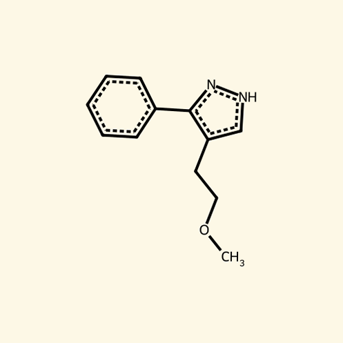 COCCc1c[nH]nc1-c1ccccc1